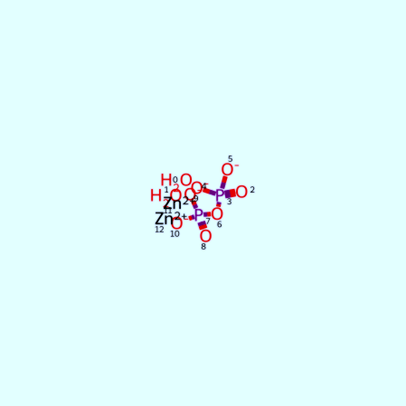 O.O.O=P([O-])([O-])OP(=O)([O-])[O-].[Zn+2].[Zn+2]